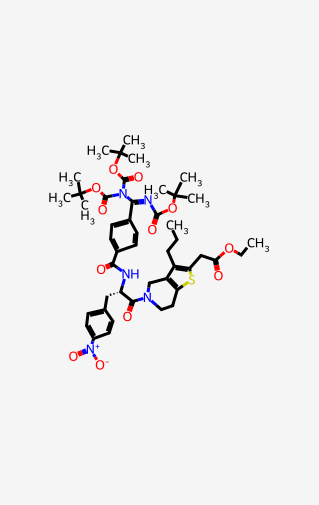 CCCc1c(CC(=O)OCC)sc2c1CN(C(=O)[C@H](Cc1ccc([N+](=O)[O-])cc1)NC(=O)c1ccc(C(=NC(=O)OC(C)(C)C)N(C(=O)OC(C)(C)C)C(=O)OC(C)(C)C)cc1)CC2